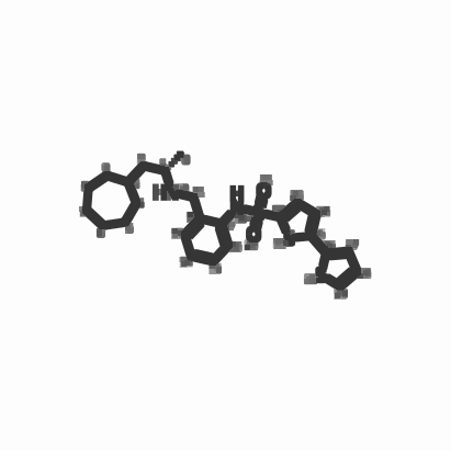 C[C@@H](CC1CCCCCC1)NCc1ccccc1NS(=O)(=O)c1ccc(-c2cccs2)s1